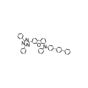 c1ccc(-c2ccc(-c3ccc(N(c4ccccc4)c4cccc5c4oc4cc(-c6nc(-c7ccccc7)nc(-c7ccccc7)n6)ccc45)cc3)cc2)cc1